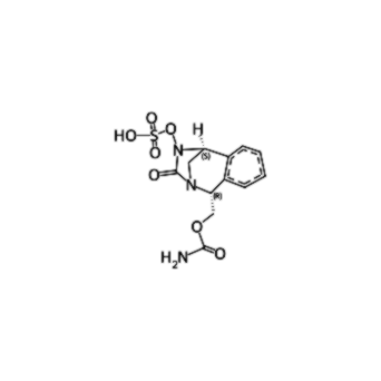 NC(=O)OC[C@H]1c2ccccc2[C@H]2CN1C(=O)N2OS(=O)(=O)O